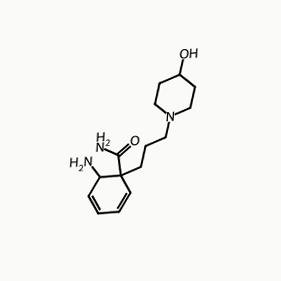 NC(=O)C1(CCCN2CCC(O)CC2)C=CC=CC1N